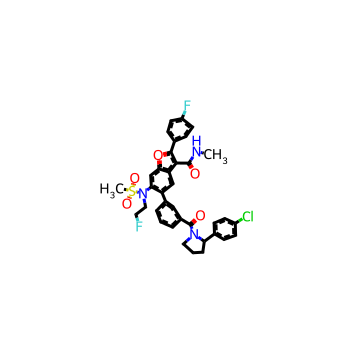 CNC(=O)c1c(-c2ccc(F)cc2)oc2cc(N(CCF)S(C)(=O)=O)c(-c3cccc(C(=O)N4CCCC4c4ccc(Cl)cc4)c3)cc12